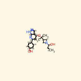 C=CC(O)N1CC(C(C)(C)Oc2cc(-c3ccc(O)cc3)nc3[nH]ncc23)C1